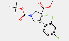 COC(=O)[C@]1(F)CN(C(=O)OC(C)(C)C)C[C@H]1c1ccc(F)cc1F